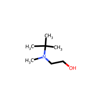 CN(CCO)C(C)(C)C